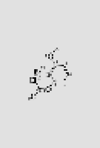 COc1cccc(OC(=O)Cl)c1Br